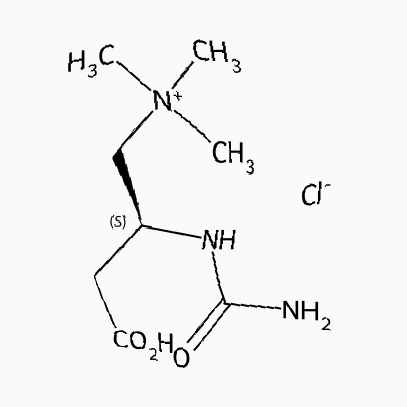 C[N+](C)(C)C[C@H](CC(=O)O)NC(N)=O.[Cl-]